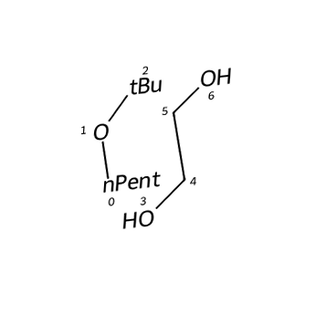 CCCCCOC(C)(C)C.OCCO